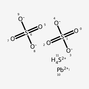 O=S(=O)([O-])[O-].O=S(=O)([O-])[O-].[Pb+2].[SH4+2]